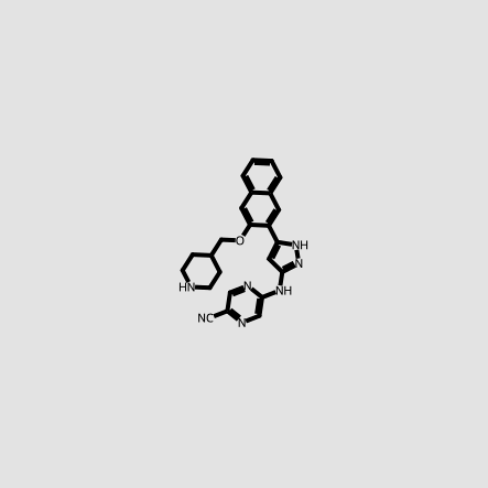 N#Cc1cnc(Nc2cc(-c3cc4ccccc4cc3OCC3CCNCC3)[nH]n2)cn1